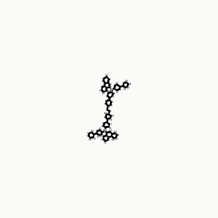 C(=C\c1ccc(-c2ccc(N(c3ccc(-c4ccccc4)cc3)c3cc4ccccc4c4ccccc34)cc2)cc1)/c1ccc(-c2ccc(N(c3ccc(-c4ccccc4)cc3)c3cc4ccccc4c4ccccc34)cc2)cc1